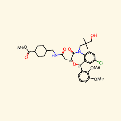 COC(=O)C1CCC(CNC(=O)C[C@H]2O[C@H](c3cccc(OC)c3OC)c3cc(Cl)ccc3N(CC(C)(C)CO)C2=O)CC1